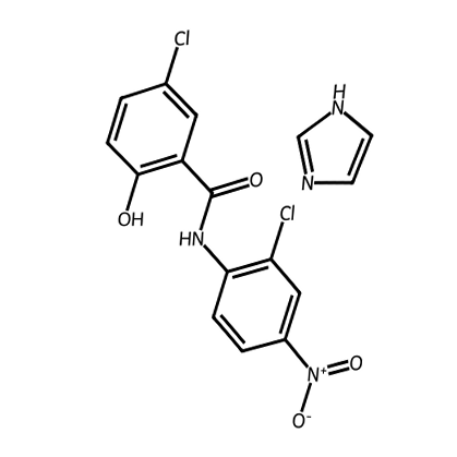 O=C(Nc1ccc([N+](=O)[O-])cc1Cl)c1cc(Cl)ccc1O.c1c[nH]cn1